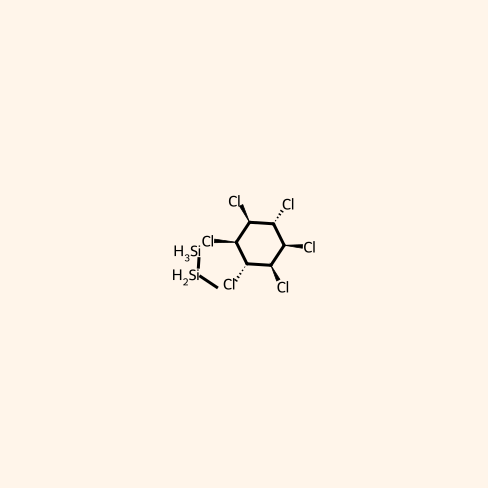 C[SiH2][SiH3].Cl[C@H]1[C@H](Cl)[C@@H](Cl)[C@@H](Cl)[C@H](Cl)[C@H]1Cl